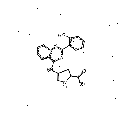 O=C(O)C1CC(Nc2nc(-c3ccccc3O)nc3ccccc23)CN1